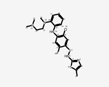 Cc1cnc(NSc2cc(Cl)c(Nc3ccccc3N(C)CCN(C)C)cc2F)s1